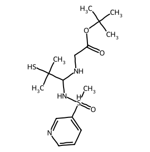 CC(C)(C)OC(=O)CNC(N[SH](C)(=O)c1cccnc1)C(C)(C)S